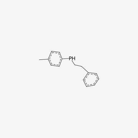 Cc1ccc(PCCc2ccccc2)cc1